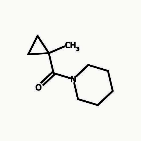 CC1(C(=O)N2CCCCC2)CC1